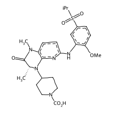 COc1ccc(S(=O)(=O)C(C)C)cc1Nc1ccc2c(n1)N(C1CCN(C(=O)O)CC1)[C@H](C)C(=O)N2C